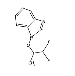 CC(On1[c]nc2ccccc21)C(F)F